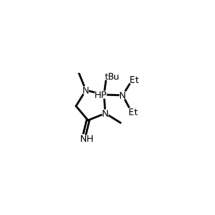 CCN(CC)[PH]1(C(C)(C)C)N(C)CC(=N)N1C